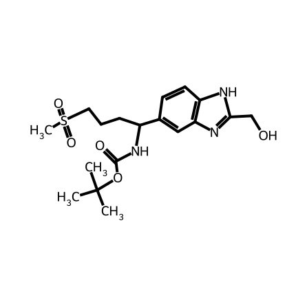 CC(C)(C)OC(=O)NC(CCCS(C)(=O)=O)c1ccc2[nH]c(CO)nc2c1